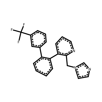 FC(F)(F)c1cccc(-c2ccccc2-c2cccnc2Cn2ccnc2)c1